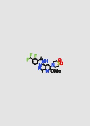 COc1nc2c(C)nnc(N[C@H](C)c3cccc(C(F)F)c3F)c2cc1N1CCS(=O)(=O)CC1